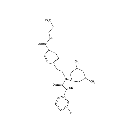 CC1CC(C)CC2(C1)N=C(c1cccc(F)c1)C(=O)N2CCC1=CCC(C(=O)NCCC(=O)O)C=C1